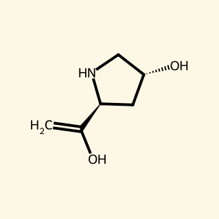 C=C(O)[C@@H]1C[C@@H](O)CN1